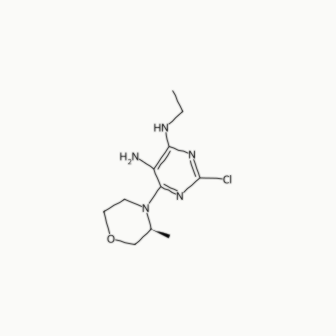 CCNc1nc(Cl)nc(N2CCOC[C@@H]2C)c1N